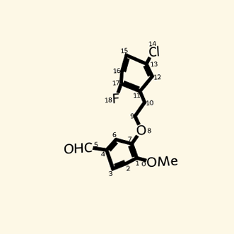 COc1ccc(C=O)cc1OCCc1cc(Cl)ccc1F